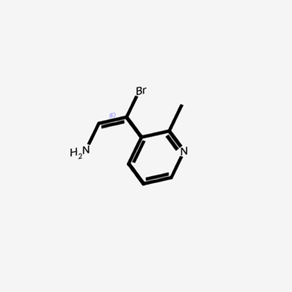 Cc1ncccc1/C(Br)=C\N